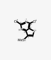 CSc1csc2c(Cl)nc(Cl)nc12